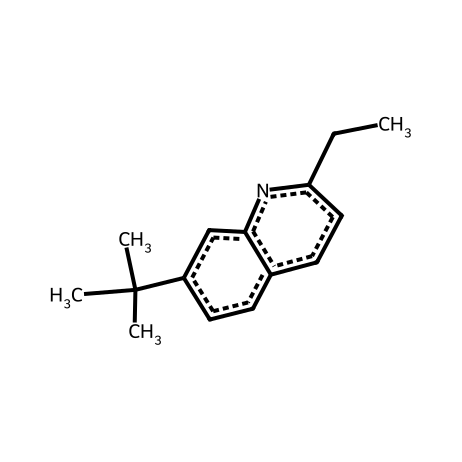 CCc1ccc2ccc(C(C)(C)C)cc2n1